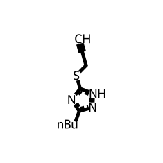 C#CCSc1nc(CCCC)n[nH]1